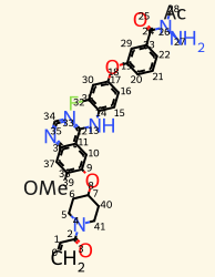 C=CC(=O)N1CCC(Oc2cc3c(Nc4ccc(Oc5cccc(C(=O)N(N)C(C)=O)c5)cc4F)ncnc3cc2OC)CC1